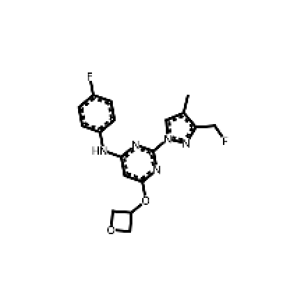 Cc1cn(-c2nc(Nc3ccc(F)cc3)cc(OC3COC3)n2)nc1CF